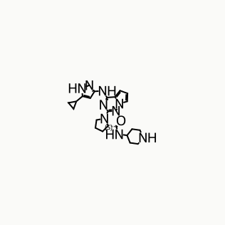 O=C(NC1CCNCC1)[C@@H]1CCCN1c1nc(Nc2cc(C3CC3)[nH]n2)c2cccn2n1